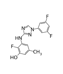 Cc1cc(O)c(F)c(Nc2ncn(-c3cc(F)cc(F)c3)n2)c1